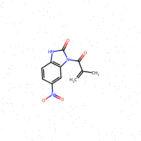 C=C(C)C(=O)n1c(=O)[nH]c2ccc([N+](=O)[O-])cc21